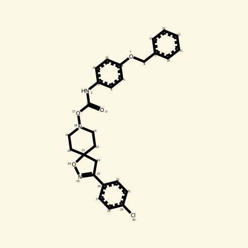 O=C(Nc1ccc(OCc2ccccc2)cc1)ON1CCC2(CC1)CC(c1ccc(Cl)cc1)=NO2